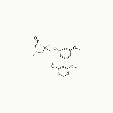 CC(CP=O)CC(C)(C)C.COc1cccc(OC)c1.COc1cccc(OC)c1